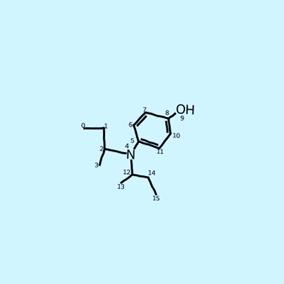 CCC(C)N(c1ccc(O)cc1)C(C)CC